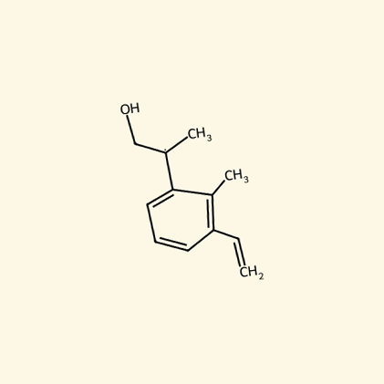 C=Cc1cccc([C](C)CO)c1C